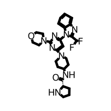 O=C(NC1CCN(c2cc(-n3c(C(F)F)nc4ccccc43)nc(N3CCOCC3)n2)CC1)[C@@H]1CCCN1